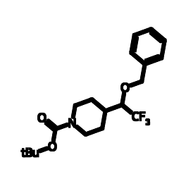 CC(C)(C)OC(=O)N1CCC(C(OCc2ccccc2)C(F)(F)F)CC1